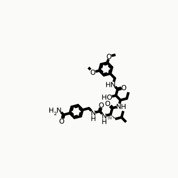 CCC(NC(=O)[C@H](CC(C)C)NC(=O)NCc1ccc(C(N)=O)cc1)C(O)C(=O)NCc1cc(OC)cc(OC)c1